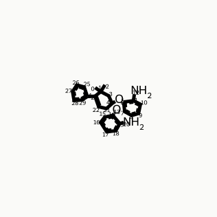 CC1(C)CC(Oc2ccccc2N)(Oc2ccccc2N)CC=C1c1ccccc1